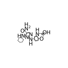 NC(=O)c1cnc(Nc2ccc3c(c2)NC[C@@H](O)CO3)nc1NC1CCCCC1